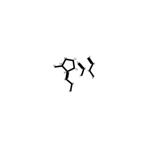 C=CC.C=CCC.CCC=C1CCCC1C